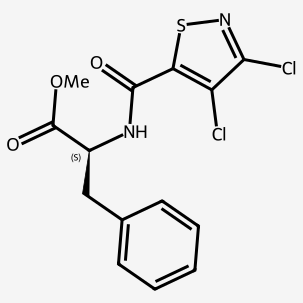 COC(=O)[C@H](Cc1ccccc1)NC(=O)c1snc(Cl)c1Cl